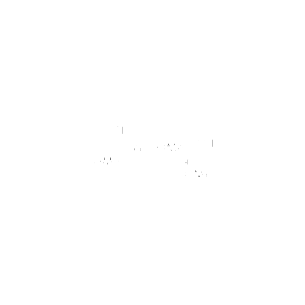 COCC(C)COCCC[Si](CO)(OC)OC